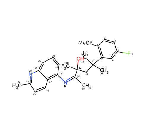 COc1ccc(F)cc1C(C)(C)CC(O)(C(C)=Nc1cccc2nc(C)ccc12)C(F)(F)F